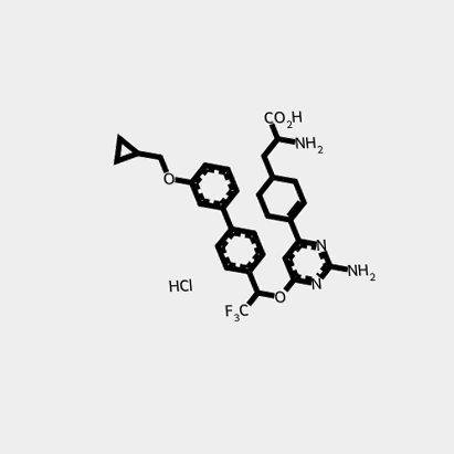 Cl.Nc1nc(OC(c2ccc(-c3cccc(OCC4CC4)c3)cc2)C(F)(F)F)cc(C2=CCC(CC(N)C(=O)O)CC2)n1